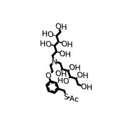 CC(=O)SCc1cccc(OCCN(C[C@H](O)[C@@H](O)[C@H](O)[C@H](O)CO)C[C@H](O)[C@@H](O)[C@H](O)[C@H](O)CO)c1